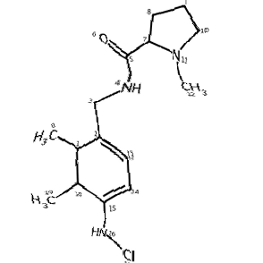 CC1C(CNC(=O)C2CCCN2C)=CC=C(NCl)C1C